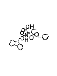 C=CC(C(=O)OCc1ccccc1)[C@@H](NC(=O)OCC1c2ccccc2-c2ccccc21)C(=O)O